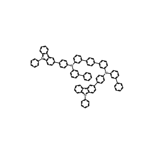 c1ccc(-c2cccc(N(c3ccc(-c4ccc5c(c4)c4ccccc4n5-c4ccccc4)cc3)c3cccc(-c4ccc(-c5cccc(N(c6ccc(-c7ccc8c(c7)c7ccccc7n8-c7ccccc7)cc6)c6cccc(-c7ccccc7)c6)c5)cc4)c3)c2)cc1